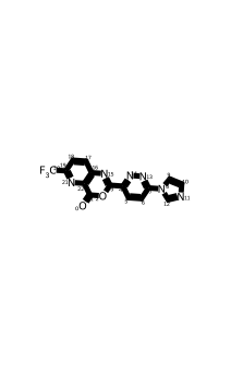 O=c1oc(-c2ccc(-n3ccnc3)nn2)nc2ccc(C(F)(F)F)nc12